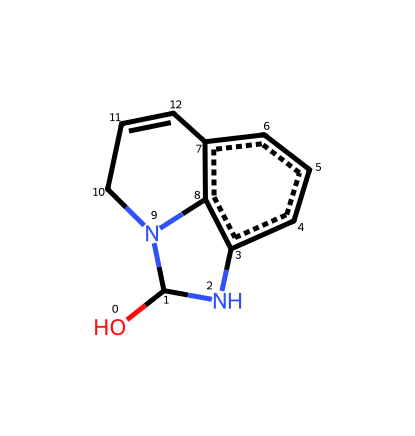 OC1Nc2cccc3c2N1CC=C3